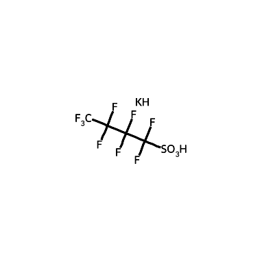 O=S(=O)(O)C(F)(F)C(F)(F)C(F)(F)C(F)(F)F.[KH]